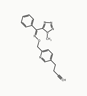 C#CCCc1[c]nc(CO/N=C(/c2ccccc2)c2nnnn2C)cc1